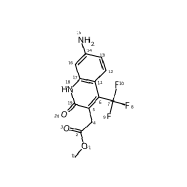 COC(=O)Cc1c(C(F)(F)F)c2ccc(N)cc2[nH]c1=O